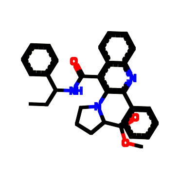 CCC(NC(=O)c1c(N2CCCC2C(=O)OC)c(-c2ccccc2)nc2ccccc12)c1ccccc1